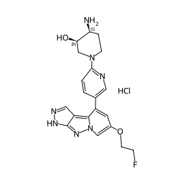 Cl.N[C@H]1CCN(c2ccc(-c3cc(OCCF)cn4nc5[nH]ncc5c34)cn2)C[C@H]1O